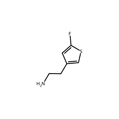 NCCc1csc(F)c1